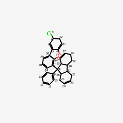 ClC1C=c2c(oc3c(C4(c5ccccc5)C5C=CCCC5C5CC=CCC54)cccc23)=CC1